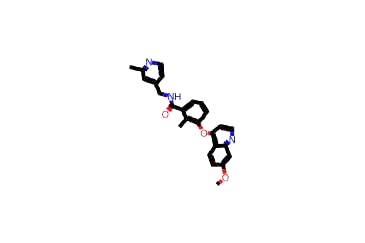 COc1ccc2c(Oc3cccc(C(=O)NCc4ccnc(C)c4)c3C)ccnc2c1